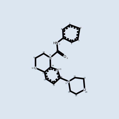 O=C(Nc1ccccc1)N1CCOc2ccc(N3CCOCC3)nc21